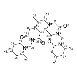 CC1CCN(CN2C(=O)CN(C(C)C(C)N3CC(=O)N(CN4CCC(C)CC4C)C(=O)C3)CC2=O)C(C)C1